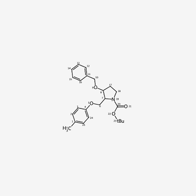 Cc1ccc(OCC2C(OCc3ccccc3)CCN2C(=O)OC(C)(C)C)cc1